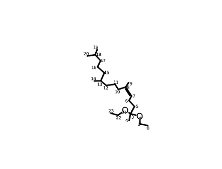 CCOC(C)(CCC=C(C)CCCC(C)CCCC(C)C)OCC